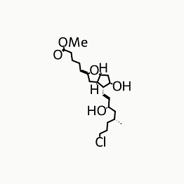 COC(=O)CCC/C=C1/C[C@@H]2[C@@H](/C=C/[C@@H](O)C[C@H](C)CCCCl)[C@H](O)C[C@H]2O1